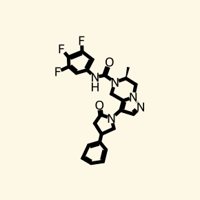 C[C@H]1Cn2ncc(N3CC(c4ccccc4)CC3=O)c2CN1C(=O)Nc1cc(F)c(F)c(F)c1